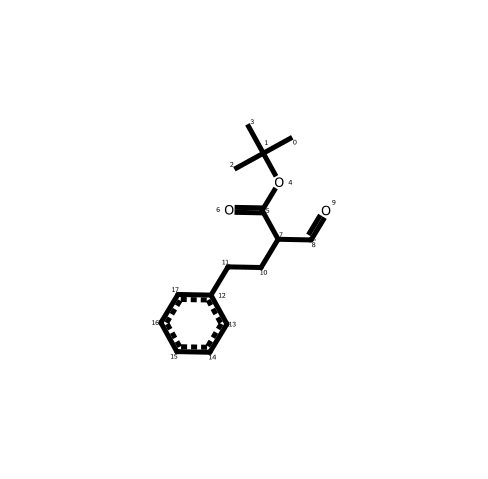 CC(C)(C)OC(=O)C([C]=O)CCc1ccccc1